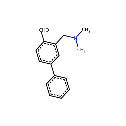 CN(C)Cc1cc(-c2ccccc2)ccc1C=O